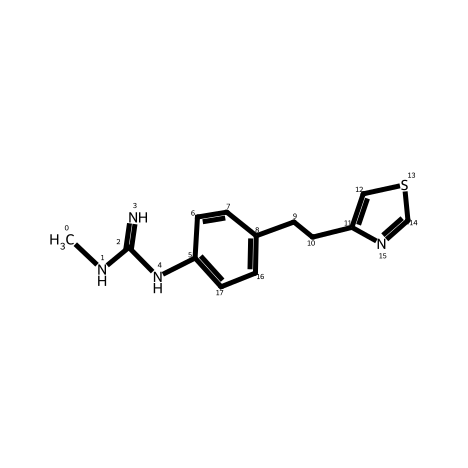 CNC(=N)Nc1ccc(CCc2cs[c]n2)cc1